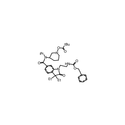 CCC1(CC)C(=O)N(CCNC(=O)OCc2ccccc2)c2cc(C(=O)N(C(C)C)C3CCCN(OC(=O)C(C)(C)C)C3)ccc21